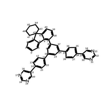 c1ccc2c(c1)-c1c(-c3cc(-c4ccc(-c5cncnc5)cc4)cc(-c4ccc(-c5cncnc5)cc4)c3)cccc1C21CCCCC1